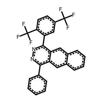 FC(F)(F)c1ccc(C(F)(F)F)c(-c2nnc(-c3ccccc3)c3cc4ccccc4cc23)c1